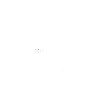 COC1(F)CCOCC1